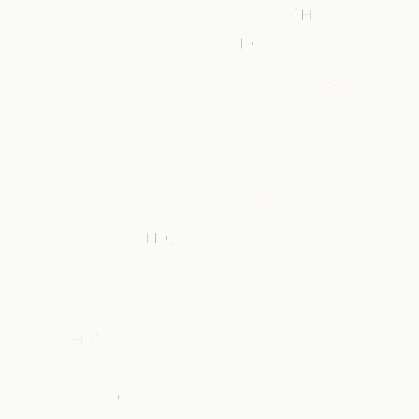 C/C(=C\COc1ccc2c(c1)OCC2(C)C)CCCC(C)C